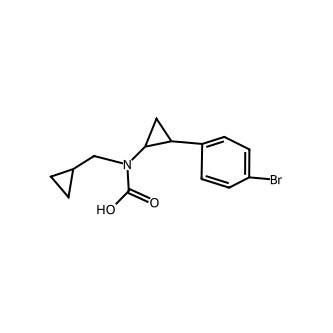 O=C(O)N(CC1CC1)C1CC1c1ccc(Br)cc1